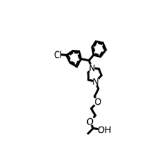 CC(O)OCCOCCN1CCN(C(c2ccccc2)c2ccc(Cl)cc2)CC1